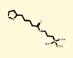 CO[Si](CCCNC(=O)CCCCC1CCSS1)(OC)OC